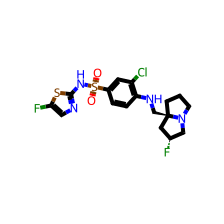 O=S(=O)(Nc1ncc(F)s1)c1ccc(NC[C@@]23CCCN2C[C@H](F)C3)c(Cl)c1